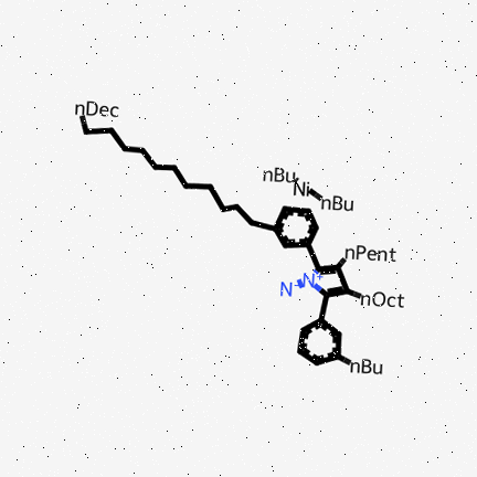 CCCCCCCCCCCCCCCCCCCCCc1cccc(C2=C(CCCCC)C(CCCCCCCC)=C(c3cccc(CCCC)c3)[N+]2=[N-])c1.CCC[CH2][Ni][CH2]CCC